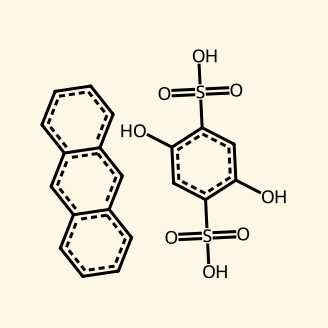 O=S(=O)(O)c1cc(O)c(S(=O)(=O)O)cc1O.c1ccc2cc3ccccc3cc2c1